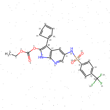 CCOC(=O)Oc1[nH]c2ncc(NS(=O)(=O)c3ccc(C(F)(F)F)cc3)cc2c1-c1ccccc1